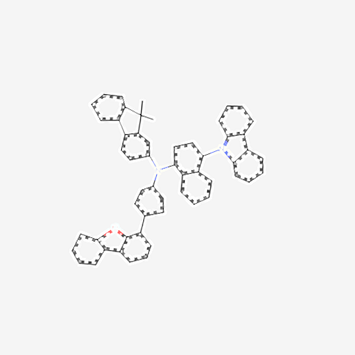 CC1(C)c2ccccc2-c2ccc(N(c3ccc(-c4cccc5c4oc4ccccc45)cc3)c3ccc(-n4c5ccccc5c5ccccc54)c4ccccc34)cc21